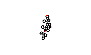 C=CC1Sc2c(cccc2N(c2ccccc2)c2cc3c(c4ccccc24)C2(c4ccccc4-c4ccccc42)c2c-3c3ccccc3c3cc(N(c4ccccc4)c4cccc5c4sc4ccccc45)ccc23)C1/C=C\C